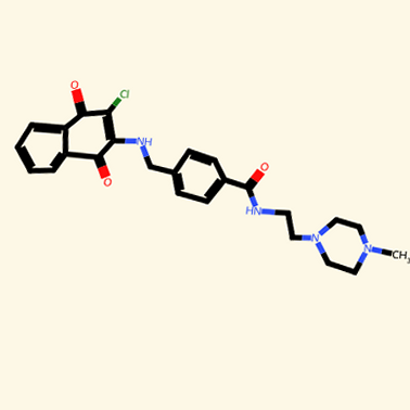 CN1CCN(CCNC(=O)c2ccc(CNC3=C(Cl)C(=O)c4ccccc4C3=O)cc2)CC1